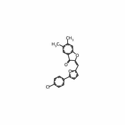 Cc1cc2c(cc1C)C(=O)C(=Cc1ccc(-c3ccc(Cl)cc3)o1)O2